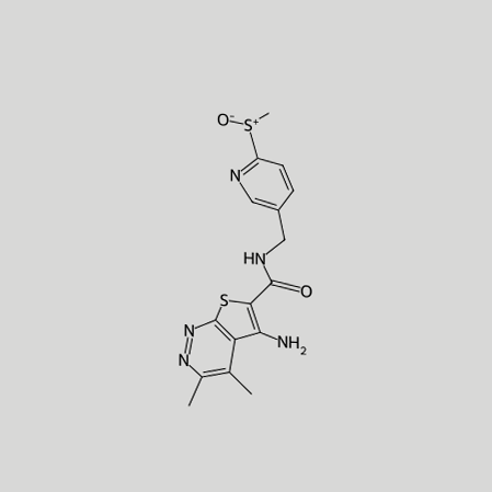 Cc1nnc2sc(C(=O)NCc3ccc([S+](C)[O-])nc3)c(N)c2c1C